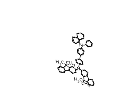 CC1(C)c2ccccc2-c2ccc(N(c3ccc(-c4ccc(N(c5ccccc5)c5cccc6ccccc56)cc4)cc3)c3ccc4c(c3)C(C)(C)c3ccccc3-4)cc21